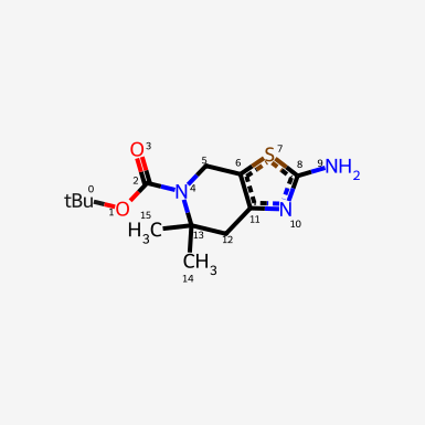 CC(C)(C)OC(=O)N1Cc2sc(N)nc2CC1(C)C